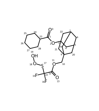 O=C(OC12CC3CC(CC(COC(=O)C(F)(F)SOO)(C3)C1)C2)C1CCCCC1